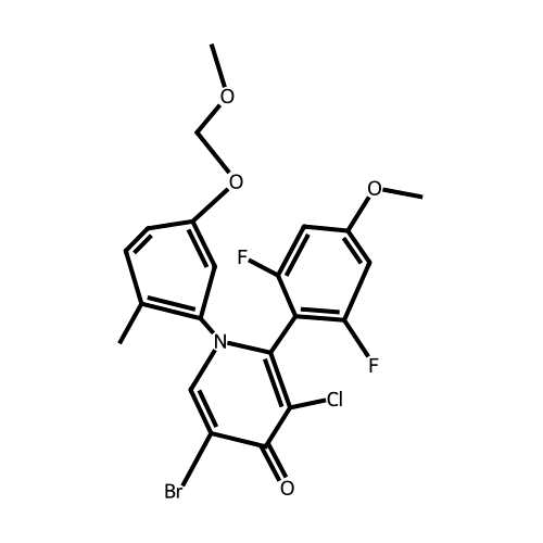 COCOc1ccc(C)c(-n2cc(Br)c(=O)c(Cl)c2-c2c(F)cc(OC)cc2F)c1